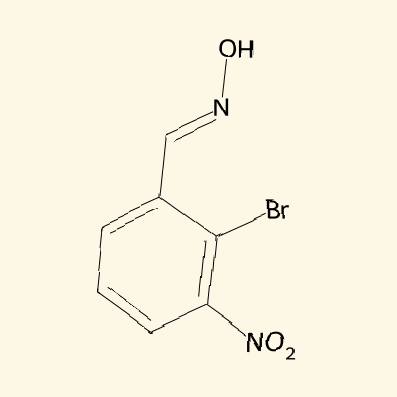 O=[N+]([O-])c1cccc(C=NO)c1Br